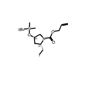 C=CCOC(=O)N1C[C@H](O[Si](C)(C)C(C)(C)C)C[C@H]1CI